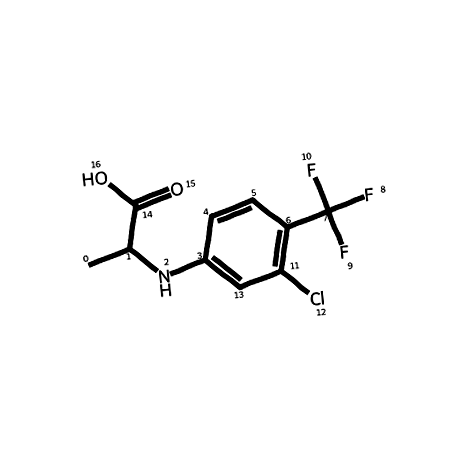 CC(Nc1ccc(C(F)(F)F)c(Cl)c1)C(=O)O